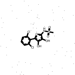 CS(=O)(=O)Nc1oc(-c2c(Cl)cccc2Cl)c(O)c1O